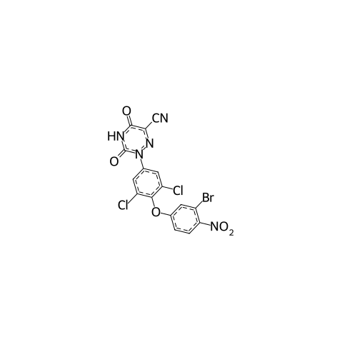 N#Cc1nn(-c2cc(Cl)c(Oc3ccc([N+](=O)[O-])c(Br)c3)c(Cl)c2)c(=O)[nH]c1=O